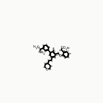 C[C@@H](N)c1cccc(-c2cc(CCC3CCOCC3)cc(COc3ccccc3CC(=O)O)c2F)c1